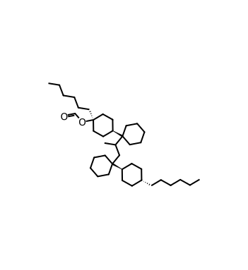 CCCCCC[C@H]1CC[C@H](C2(CC(C)C3([C@H]4CC[C@@](CCCCCC)(OC=O)CC4)CCCCC3)CCCCC2)CC1